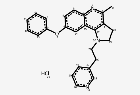 Cc1nc2ccc(Oc3ccccc3)cc2c2c1CCN2CCc1cccnc1.Cl